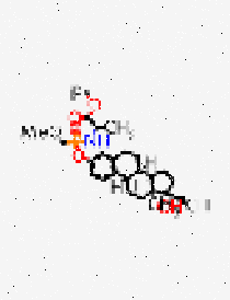 C#C[C@]1(O)CC[C@H]2[C@@H]3CCc4cc(OP(=O)(COC)NC(C)C(=O)OC(C)C)ccc4[C@H]3CC[C@@]21C